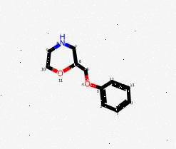 c1ccc(OCC2CNCCO2)cc1